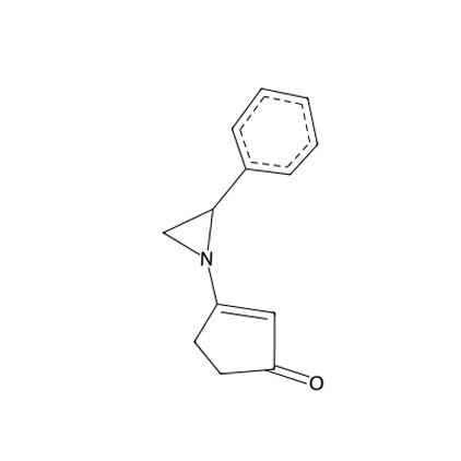 O=C1C=C(N2CC2c2ccccc2)CC1